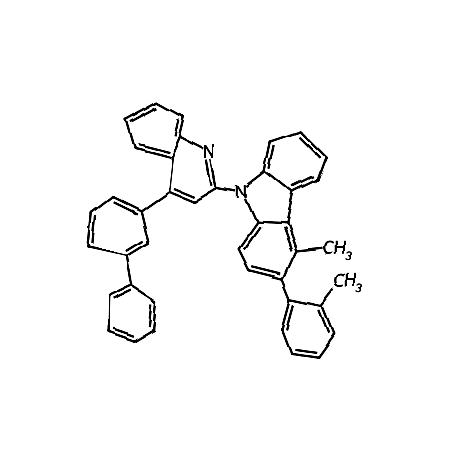 Cc1ccccc1-c1ccc2c(c1C)c1ccccc1n2-c1cc(-c2cccc(-c3ccccc3)c2)c2ccccc2n1